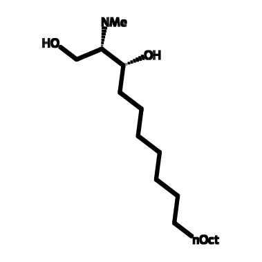 CCCCCCCCCCCCCCC[C@@H](O)[C@H](CO)NC